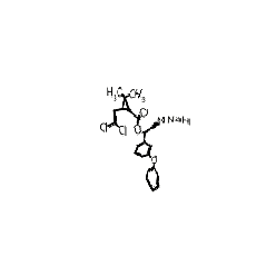 CC1(C)C(C=C(Cl)Cl)C1C(=O)OC(C#N)c1cccc(Oc2ccccc2)c1.[NaH]